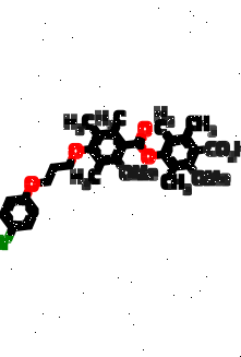 COc1c(C)c(OC(=O)c2c(C)c(C)c(OCCCOc3ccc(Br)cc3)c(C)c2OC)c(C)c(C)c1C(=O)O